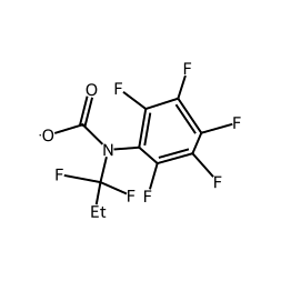 CCC(F)(F)N(C([O])=O)c1c(F)c(F)c(F)c(F)c1F